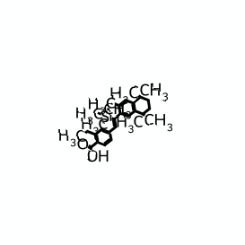 CCc1cc(C=C(c2cc3c(cc2C)C(C)(C)CCC3(C)C)[Si](C)(C)C)ccc1C(=O)O